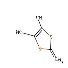 C=C1SC(C#N)=C(C#N)S1